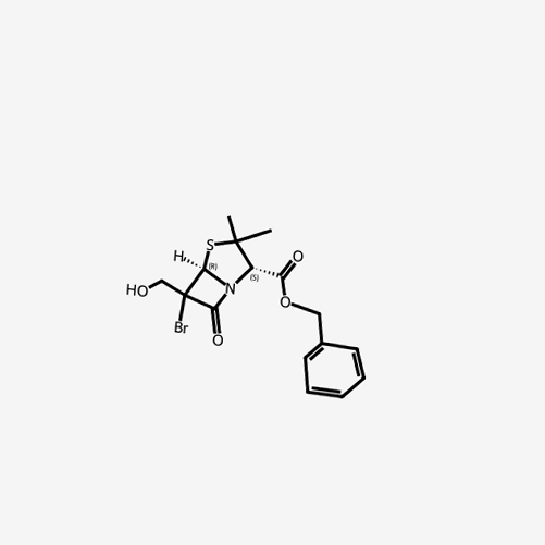 CC1(C)S[C@H]2N(C(=O)C2(Br)CO)[C@H]1C(=O)OCc1ccccc1